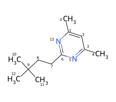 Cc1cc(C)nc(CCC(C)(C)C)n1